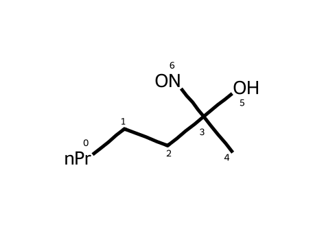 CCCCCC(C)(O)N=O